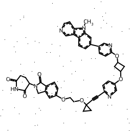 Cn1c2ccncc2c2ccc(-c3ccc(OC4CC(Oc5ccc(C#CC6(OCCOc7ccc8c(c7)CN(C7CCC(=O)NC7=O)C8=O)CC6)nc5)C4)nc3)cc21